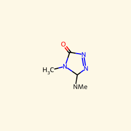 CNC1N=NC(=O)N1C